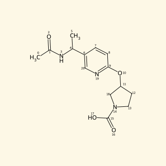 CC(=O)NC(C)c1ccc(OC2CCN(C(=O)O)C2)nc1